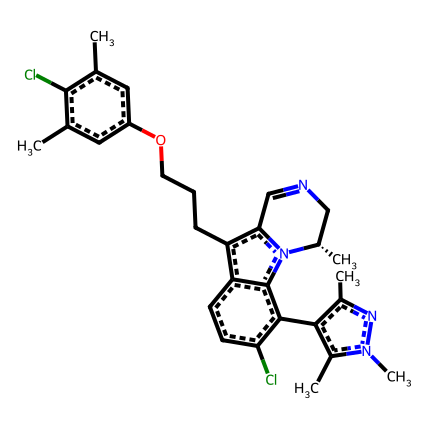 Cc1cc(OCCCc2c3n(c4c(-c5c(C)nn(C)c5C)c(Cl)ccc24)[C@@H](C)CN=C3)cc(C)c1Cl